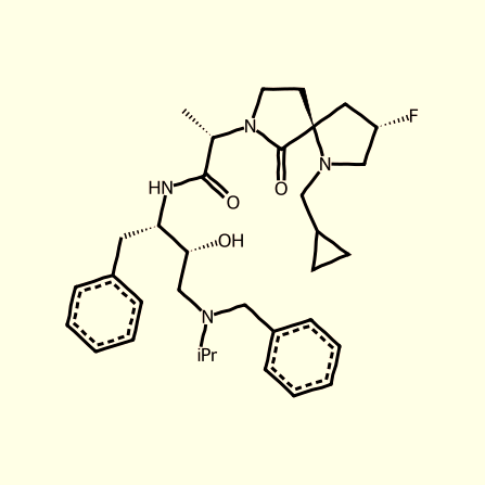 CC(C)N(Cc1ccccc1)C[C@@H](O)[C@H](Cc1ccccc1)NC(=O)[C@H](C)N1CC[C@]2(C[C@H](F)CN2CC2CC2)C1=O